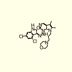 CC1=C(C)N(CCCN2CCOCC2)C2C1=CN=CN2NN=C1C(=O)Nc2cc(Cl)cc(Cl)c21